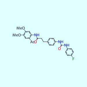 COc1cc(NC(=O)CCc2ccc(NC(=O)Nc3ccc(F)cc3)cc2)c(C(C)=O)cc1OC